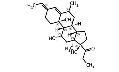 C/C=C1/C=C2[C@@H](C)C[C@@H]3[C@H]([C@@H](O)C[C@@]4(C)[C@H]3CC[C@]4(O)C(=O)CC)[C@@]2(C)CC1